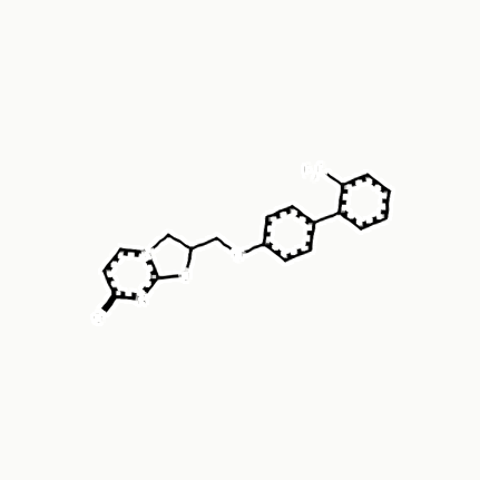 O=c1ccn2c(n1)OC(COc1ccc(-c3ccccc3C(F)(F)F)cc1)C2